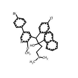 COc1ncc(-c2ccc(Br)cc2)cc1C(c1ccc(Cl)cc1)C(O)(CCN(C)C)c1cccc2ccccc12